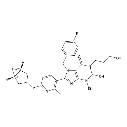 CCN1c2nc(-c3ccc(OC4C[C@@H]5C[C@@H]5C4)nc3C)n(Cc3ccc(F)cc3)c2C(=O)N(CCCO)C1O